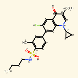 N#Cc1cc(-c2cc3c(cc2F)c(=O)c(C(=O)O)cn3C2CC2)ccc1S(=O)(=O)NCCCC(F)(F)F